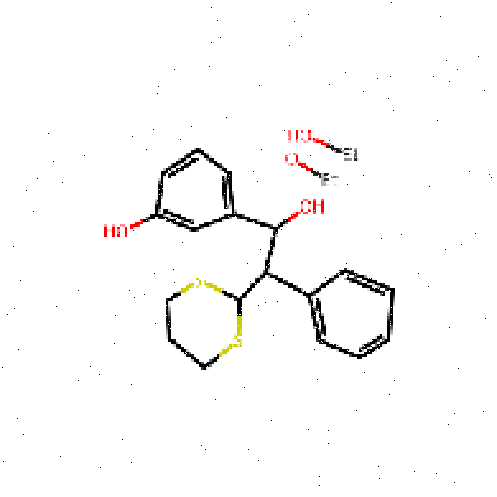 CCO.CCO.Oc1cccc(C(O)C(c2ccccc2)C2SCCCS2)c1